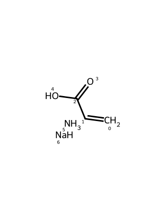 C=CC(=O)O.N.[NaH]